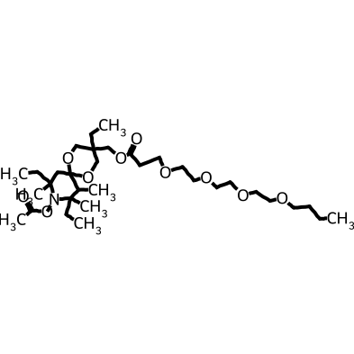 CCCCOCCOCCOCCOCCC(=O)OCC1(CC)COC2(CC(C)(CC)N(OC(C)=O)C(C)(CC)C2C)OC1